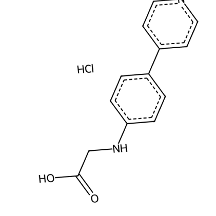 Cl.O=C(O)CNc1ccc(-c2ccncc2)cc1